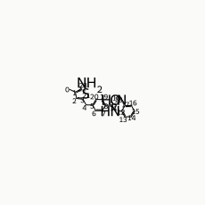 Cc1cc(Cc2ccc(C(=O)Nc3ccccc3N)cc2)sc1N